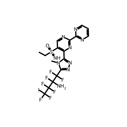 CCS(=N)(=O)c1cnc(-c2ncccn2)nc1-c1nnc(C(F)(F)C(N)(F)C(F)(F)C(F)(F)I)n1C